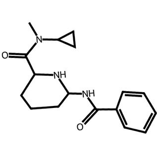 CN(C(=O)C1CCCC(NC(=O)c2ccccc2)N1)C1CC1